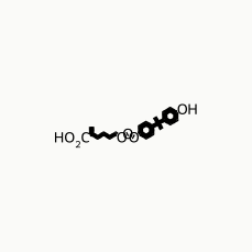 C=C(CCCCOOOc1ccc(C(C)(C)c2ccc(O)cc2)cc1)C(=O)O